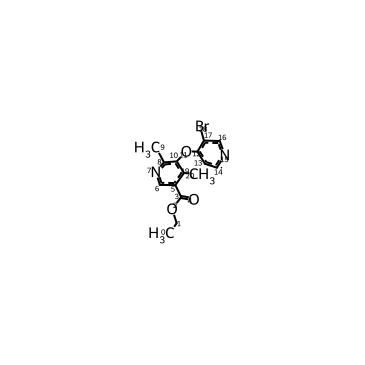 CCOC(=O)c1cnc(C)c(Oc2c[c]ncc2Br)c1C